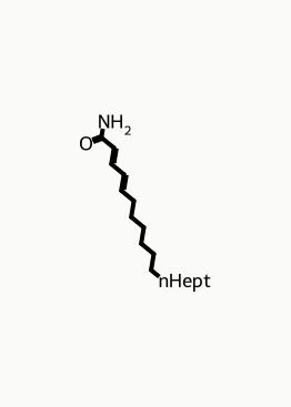 CCCCCCCCCCCCCC=C/C=C/C(N)=O